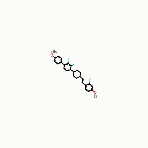 CCCCOc1ccc(-c2ccc(C3CCC(/C=C/c4ccc(OCC)cc4F)CC3)c(F)c2F)cc1